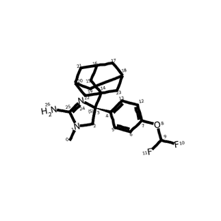 CN1C[C@@](c2ccc(OC(F)F)cc2)(C23CC4CC(CC(C4)C2)C3)N=C1N